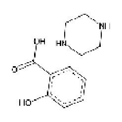 C1CNCCN1.O=C(O)c1ccccc1O